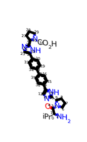 CC(C)[C@@H](N)C(=O)N1CCC[C@H]1c1ncc(-c2ccc(-c3ccc(-c4cnc(C5CCCN5C(=O)O)[nH]4)cc3)cc2)[nH]1